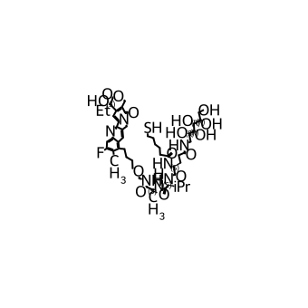 CC[C@@]1(O)C(=O)OCc2c1cc1n(c2=O)Cc2cc3c(CCCCOCNC(=O)[C@H](C)NC(=O)[C@@H](NC(=O)[C@H](CCC(=O)NC[C@H](O)[C@@H](O)[C@H](O)[C@H](O)CO)NC(=O)CCCCCS)C(C)C)c(C)c(F)cc3nc2-1